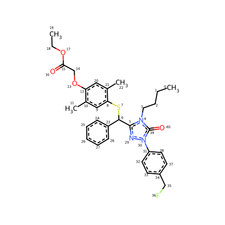 CCCCn1c(C(Sc2cc(C)c(OCC(=O)OCC)cc2C)c2ccccc2)nn(-c2ccc(CF)cc2)c1=O